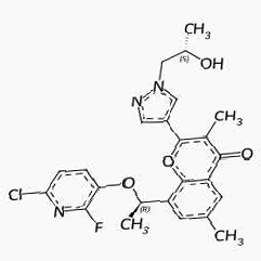 Cc1cc([C@@H](C)Oc2ccc(Cl)nc2F)c2oc(-c3cnn(C[C@H](C)O)c3)c(C)c(=O)c2c1